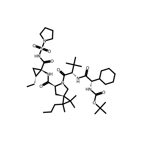 CCCC1(C)C(C)(C)[C@]12C[C@@H](C(=O)N[C@]1(C(=O)NS(=O)(=O)N3CCCC3)C[C@H]1CC)N(C(=O)[C@@H](NC(=O)[C@@H](NC(=O)OC(C)(C)C)C1CCCCC1)C(C)(C)C)C2